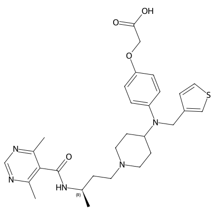 Cc1ncnc(C)c1C(=O)N[C@H](C)CCN1CCC(N(Cc2ccsc2)c2ccc(OCC(=O)O)cc2)CC1